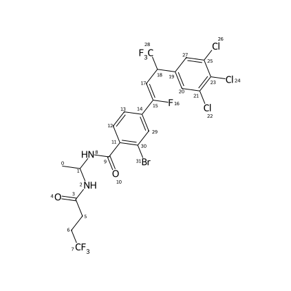 CC(NC(=O)CCC(F)(F)F)NC(=O)c1ccc(/C(F)=C/C(c2cc(Cl)c(Cl)c(Cl)c2)C(F)(F)F)cc1Br